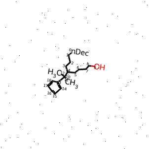 CCCCCCCCCCCCCC(CCCCO)C(C)(C)c1ccccc1